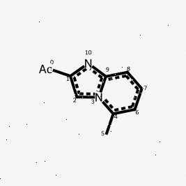 CC(=O)c1cn2c(C)cccc2n1